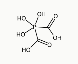 O=C(O)P(O)(O)(O)C(=O)O